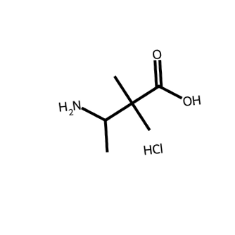 CC(N)C(C)(C)C(=O)O.Cl